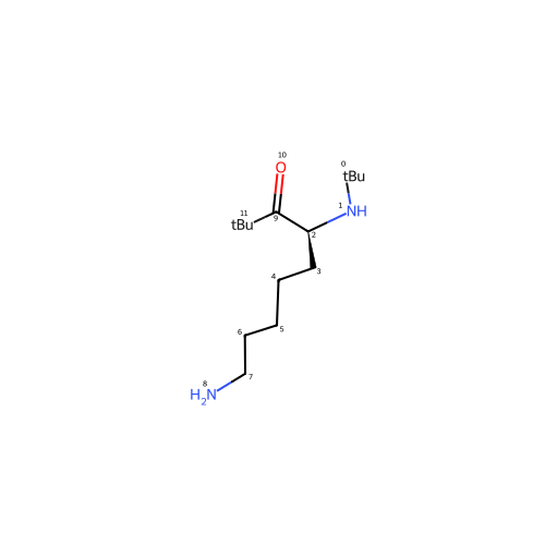 CC(C)(C)N[C@@H](CCCCCN)C(=O)C(C)(C)C